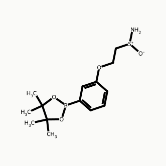 CC1(C)OB(c2cccc(OCC[S+](N)[O-])c2)OC1(C)C